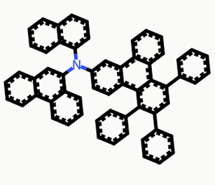 c1ccc(-c2cc(-c3ccccc3)c3c4ccccc4c4cc(N(c5cccc6ccccc56)c5cc6ccccc6c6ccccc56)ccc4c3c2-c2ccccc2)cc1